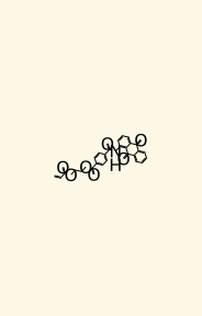 C=CC(=O)OCCOC(=O)c1ccc(C(=O)Nc2cccc3c2C(=O)c2ccccc2C3=O)cc1